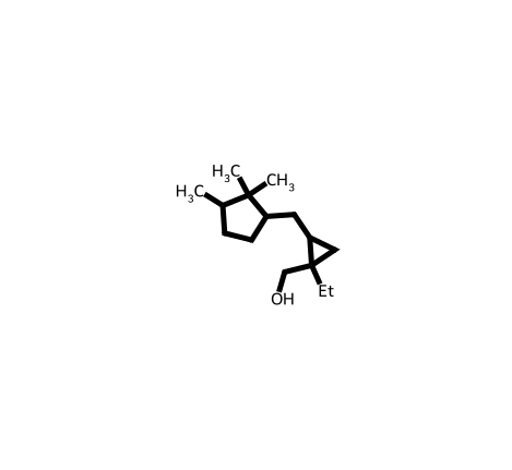 CCC1(CO)CC1CC1CCC(C)C1(C)C